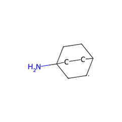 NC12C[CH]C(CC1)CC2